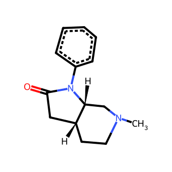 CN1CC[C@@H]2CC(=O)N(c3ccccc3)[C@@H]2C1